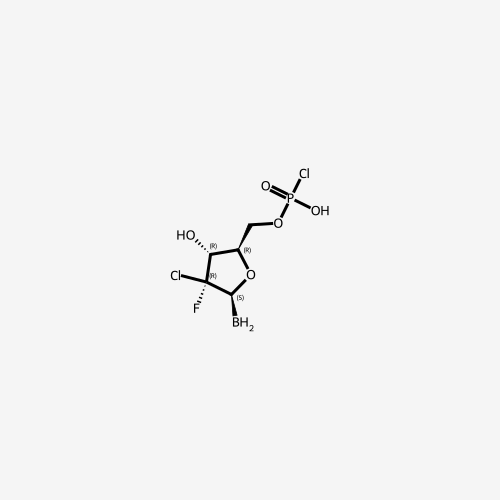 B[C@@H]1O[C@H](COP(=O)(O)Cl)[C@@H](O)[C@]1(F)Cl